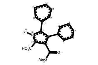 COC(=O)c1c(-c2ccccc2)c(-c2ccccc2)n(C(C)C)c1C(=O)O